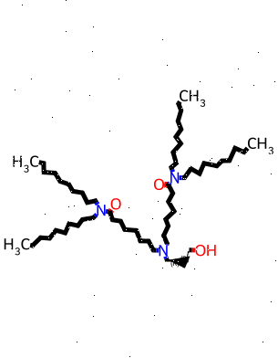 CCCCCCCCCCN(CCCCCCCCCC)C(=O)CCCCCCCN(CCCCCCCC(=O)N(CCCCCCCCCC)CCCCCCCCCC)C[C@@H]1C[C@H]1CO